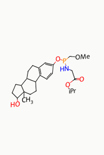 COCP(NCC(=O)OC(C)C)Oc1ccc2c(c1)CCC1C2CCC2(C)C(O)CCC12